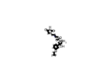 CC[C@@](O)(CNS(=O)(=O)C/C=C/CN1CC(=O)NC1=O)c1cccc(OCC(F)F)c1